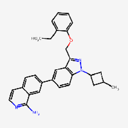 CC1CC(n2nc(COc3ccccc3CC(=O)O)c3cc(-c4ccc5ccnc(N)c5c4)ccc32)C1